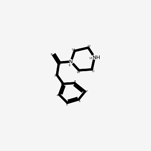 C=C(Cc1ccccc1)N1CCNCC1